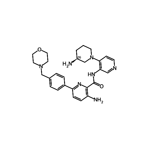 Nc1ccc(-c2ccc(CN3CCOCC3)cc2)nc1C(=O)Nc1cnccc1N1CCC[C@H](N)C1